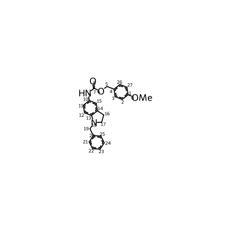 COc1ccc(COC(=O)Nc2ccc3c(c2)CCN3Cc2ccccc2)cc1